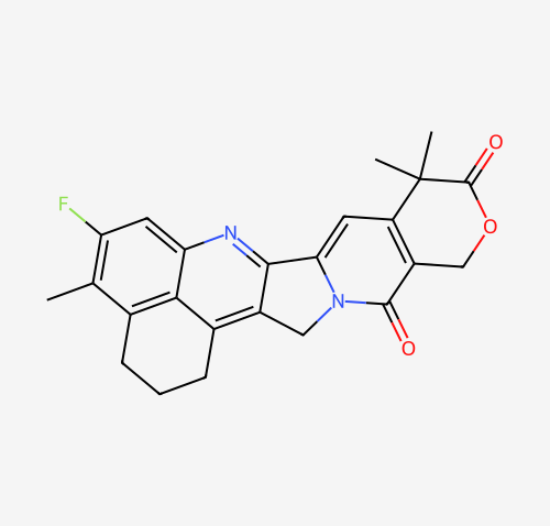 Cc1c(F)cc2nc3c(c4c2c1CCC4)Cn1c-3cc2c(c1=O)COC(=O)C2(C)C